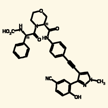 Cn1cc(C#Cc2ccc(NC(=O)[C@@H]3COCCN3C(=O)[C@H](NC(=O)O)c3ccccc3)cc2)c(-c2cc(C#N)ccc2O)n1